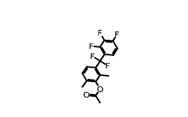 CC(=O)Oc1c(C)ccc(C(F)(F)c2ccc(F)c(F)c2F)c1C